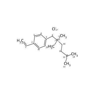 C=Cc1ccc(C[P+](C)(C)CCP(C)C)cc1.[Cl-]